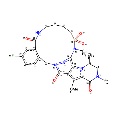 CCN1C[C@H](C)n2c(c(OC)c3c(=O)n4nc(c32)N(C)S(=O)(=O)CCCCNC(=O)c2cc(F)ccc2C4)C1=O